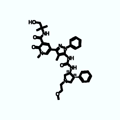 COCCN1C[C@@H](NC(=O)Nc2c(C)c(-c3cc(C(=O)NC(C)(C)CO)c(=O)n(C)c3)nn2-c2ccccc2)[C@H](c2ccccc2)C1